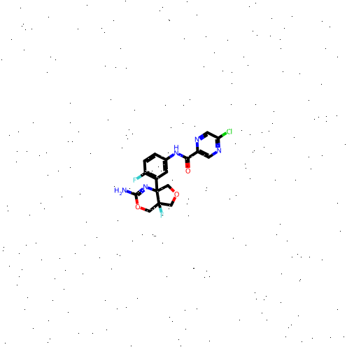 NC1=NC2(c3cc(NC(=O)c4cnc(Cl)cn4)ccc3F)COCC2(F)CO1